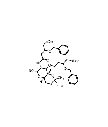 CCCCCCCCCCC[C@H](CCO[C@@H]1[C@@H](NC(=O)C[C@@H](CCCCCCCCCCC)OCc2ccccc2)[C@@H](C#N)O[C@@H]2COC(C)(C)O[C@@H]12)OCc1ccccc1